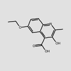 CCOc1ccc2nc(C)c(O)c(C(=O)O)c2c1